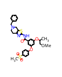 COCC(C)Oc1cc(Oc2ccc(S(C)(=O)=O)cc2)cc(C(=O)Nc2nc3c(s2)CN(Cc2ccccc2)CC3)c1